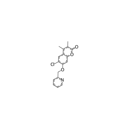 Cc1c(C)c2cc(Cl)c(OCc3ccccn3)cc2oc1=O